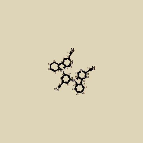 N#Cc1cc(-n2c3c(c4cc(C#N)ncc42)CCC=C3)cc(-n2c3ccccc3c3cc(C#N)ncc32)c1